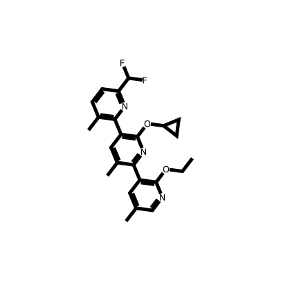 CCOc1ncc(C)cc1-c1nc(OC2CC2)c(-c2nc(C(F)F)ccc2C)cc1C